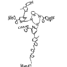 COCCOCCOCCOc1ccc(-c2cc(CN3CCN(CC(=O)OC)Cc4cccc(n4)CN(Cc4cc(-c5ccc(O)cc5C)cc(C(=O)OC)n4)CC3)nc(C(=O)OC)c2)c(C)c1